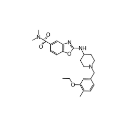 CCOc1cc(CN2CCC(Nc3nc4cc(S(=O)(=O)N(C)C)ccc4o3)CC2)ccc1C